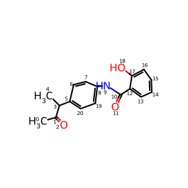 CC(=O)C(C)c1ccc(NC(=O)c2ccccc2O)cc1